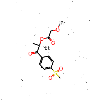 CC[C@](C)(OC(=O)COC(C)C)C(=O)c1ccc(S(C)(=O)=O)cc1